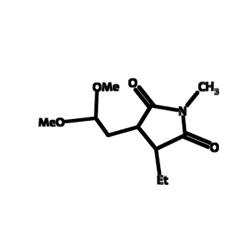 CCC1C(=O)N(C)C(=O)C1CC(OC)OC